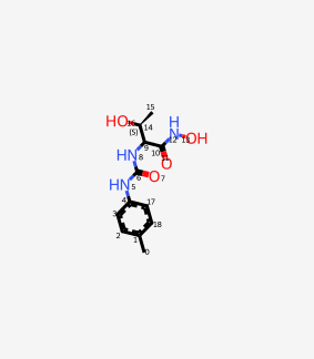 Cc1ccc(NC(=O)NC(C(=O)NO)[C@H](C)O)cc1